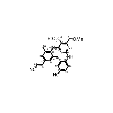 CCOC(=O)c1c(COC)nc(Nc2ccc(C#N)cc2)nc1Nc1c(C)cc(/C=C/C#N)cc1C